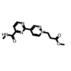 CNC(=O)c1ccnc(-c2cc[n+](CCC(=O)OC)nc2)n1